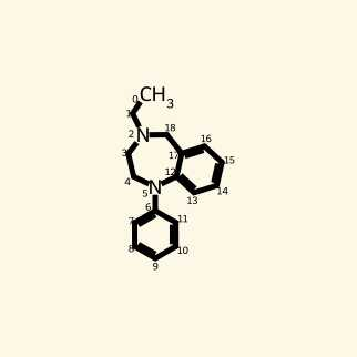 CCN1CCN(c2ccccc2)c2ccccc2C1